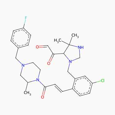 CC1CN(Cc2ccc(F)cc2)CCN1C(=O)/C=C/c1ccc(Cl)cc1CN1CNC(C)(C)C1C(=O)C=O